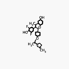 CC1=C(c2cc(F)c(O)c(F)c2)C(c2ccc(OC[C@H](C)N3CC[C@@H](C)C3)cc2)Oc2ccc(O)cc21